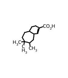 CC1CC2C=C(C(=O)O)CCC2CCC1(C)C